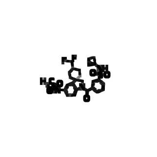 CS(=O)(=O)Nc1ccc2c(c1)[C@]1(CC[C@H](C(F)F)CC1)CN2C(=O)c1cccc(S(=O)(=O)NC23CC(C2)C3)c1